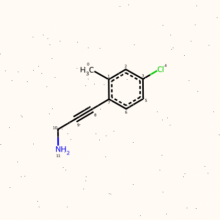 Cc1cc(Cl)ccc1C#CCN